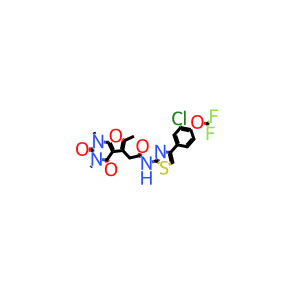 Cc1oc2c(c1CC(=O)Nc1nc(-c3ccc(OC(F)F)c(Cl)c3)cs1)c(=O)n(C)c(=O)n2C